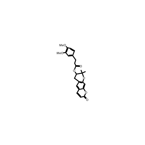 COc1ccc(CCC(=O)OC2Cc3cc4ccc(=O)oc4cc3OC2(C)C)cc1OC